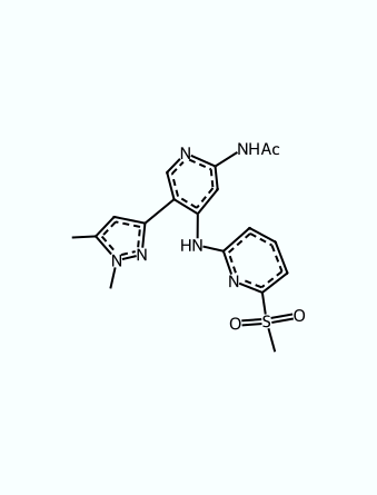 CC(=O)Nc1cc(Nc2cccc(S(C)(=O)=O)n2)c(-c2cc(C)n(C)n2)cn1